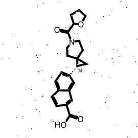 O=C(O)c1ccc2ccc([C@H]3CC34CCN(C(=O)C3CCCO3)CC4)cc2c1